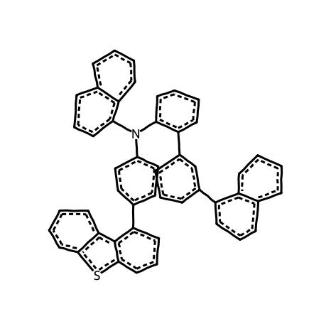 c1cc(-c2ccccc2N(c2ccc(-c3cccc4sc5ccccc5c34)cc2)c2cccc3ccccc23)cc(-c2cccc3ccccc23)c1